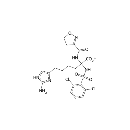 Nc1nc(CCCCC(NC(=O)C2=NOCC2)(NS(=O)(=O)c2c(Cl)cccc2Cl)C(=O)O)c[nH]1